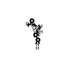 CC(=O)c1nn(CC(=O)N2C[C@H](F)C[C@H]2C(=O)Nc2cccc(-c3ccc4c(c3)CNC4)c2F)c2ccccc12